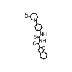 COC1CCCN(c2ccc(NC(=S)NC(=O)c3cc4ccccc4o3)cc2)C1